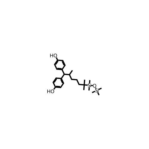 CC(CCCC(C)(C)[Si](C)(C)O[Si](C)(C)C)C(c1ccc(O)cc1)c1ccc(O)cc1